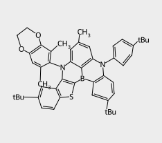 Cc1cc2c3c(c1)N(c1c(C)cc4c(c1C)OCCO4)c1c(sc4ccc(C(C)(C)C)cc14)B3c1cc(C(C)(C)C)ccc1N2c1ccc(C(C)(C)C)cc1